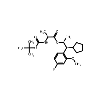 COc1cc(F)ccc1[C@H](C1CCCC1)[C@H](C)OC(=O)[C@H](C)NC(=O)OC(C)(C)C